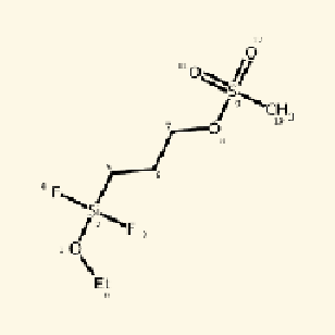 CCO[Si](F)(F)CCCOS(C)(=O)=O